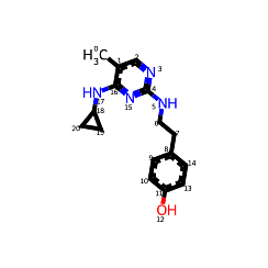 Cc1cnc(NCCc2ccc(O)cc2)nc1NC1CC1